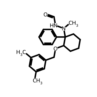 Cc1cc(C)cc(COC2CCCCC2(c2ccccc2)N(C)NC=O)c1